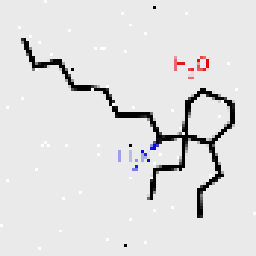 CCCCCCCC(N)C1(CCC)CCCCC1CCC.O